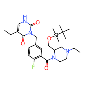 CCc1c[nH]c(=O)n(Cc2ccc(F)c(C(=O)N3CCN(CC)CC3CO[Si](C)(C)C(C)(C)C)c2)c1=O